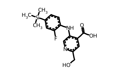 C[Si](C)(C)c1ccc(Nc2cnc(CO)cc2C(=O)O)c(F)c1